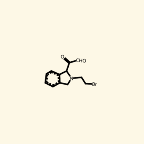 O=CC(=O)C1c2ccccc2CN1CCBr